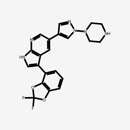 FC1(F)Oc2cccc(-c3c[nH]c4ncc(-c5cnn(N6CCNCC6)c5)cc34)c2O1